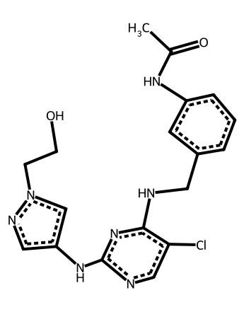 CC(=O)Nc1cccc(CNc2nc(Nc3cnn(CCO)c3)ncc2Cl)c1